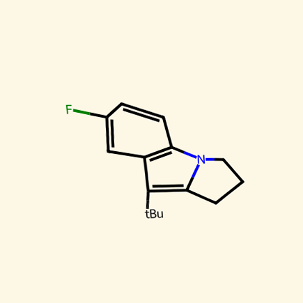 CC(C)(C)c1c2n(c3ccc(F)cc13)CCC2